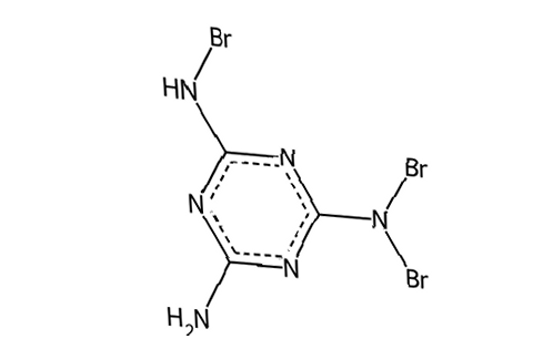 Nc1nc(NBr)nc(N(Br)Br)n1